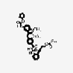 COc1cc(C(=O)NS(=O)(=O)c2ccccc2C#CCCOC(=O)C(C)(C)C)ccc1Cc1cn(C)c2ccc(NC(=O)OC3CCCC3)cc12